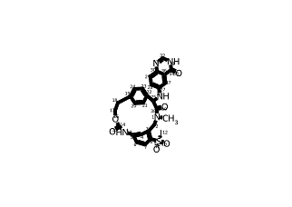 CN1Cc2cc(ccc2S(=O)(=O)I)NC(=O)OCCc2ccc(cc2)C(Nc2ccc3nc[nH]c(=O)c3c2)C1=O